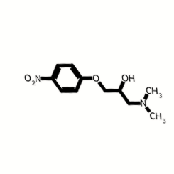 CN(C)CC(O)COc1ccc([N+](=O)[O-])cc1